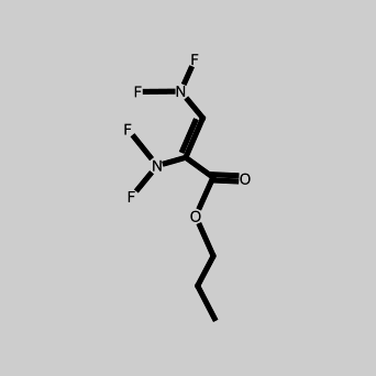 CCCOC(=O)C(=CN(F)F)N(F)F